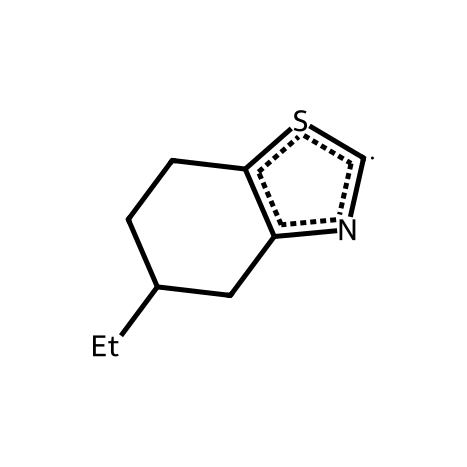 CCC1CCc2s[c]nc2C1